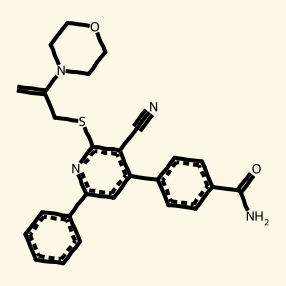 C=C(CSc1nc(-c2ccccc2)cc(-c2ccc(C(N)=O)cc2)c1C#N)N1CCOCC1